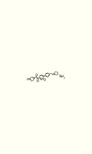 NC[C@H]1CCN(CCc2ccc(-n3ccc(NC(=O)N4CCNCC4)nc3=O)cc2)C1